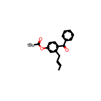 CC=CCc1cc(OC(=O)C(C)(C)C)ccc1C(=O)c1ccccc1